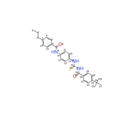 CCCc1ccc(C(=O)Nc2ccc(NC(=S)NC(=O)c3ccc(C(C)(C)C)cc3)cc2)cc1